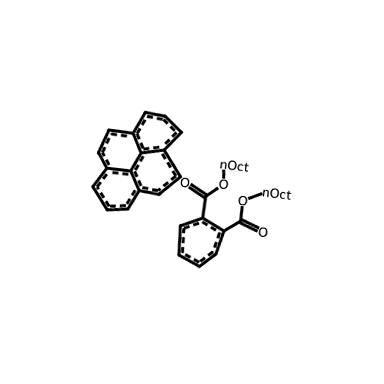 CCCCCCCCOC(=O)c1ccccc1C(=O)OCCCCCCCC.c1cc2ccc3cccc4ccc(c1)c2c34